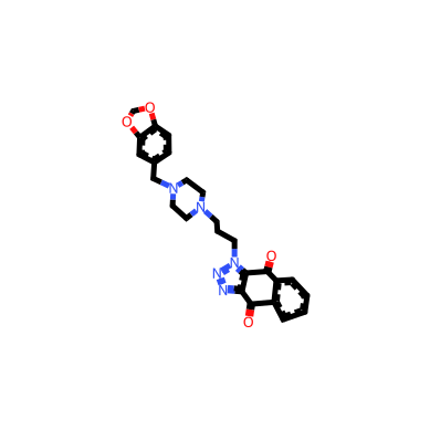 O=C1c2ccccc2C(=O)c2c1nnn2CCCN1CCN(Cc2ccc3c(c2)OCO3)CC1